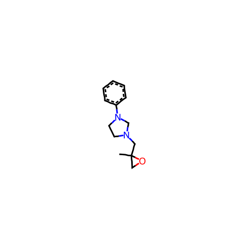 CC1(CN2CCN(c3ccccc3)C2)CO1